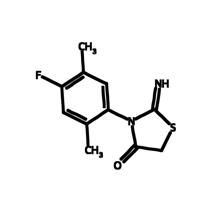 Cc1cc(N2C(=N)SCC2=O)c(C)cc1F